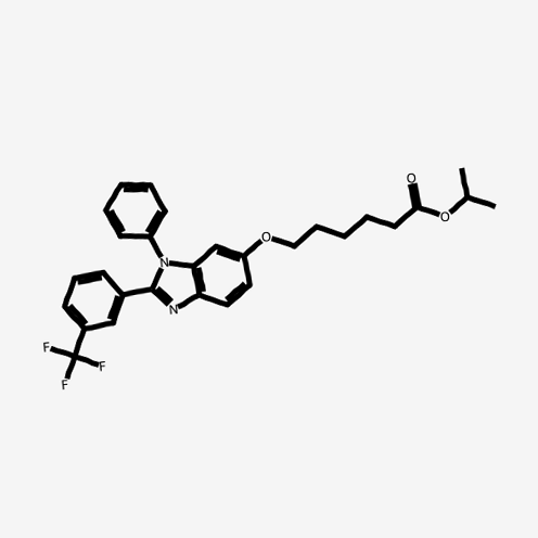 CC(C)OC(=O)CCCCCOc1ccc2nc(-c3cccc(C(F)(F)F)c3)n(-c3ccccc3)c2c1